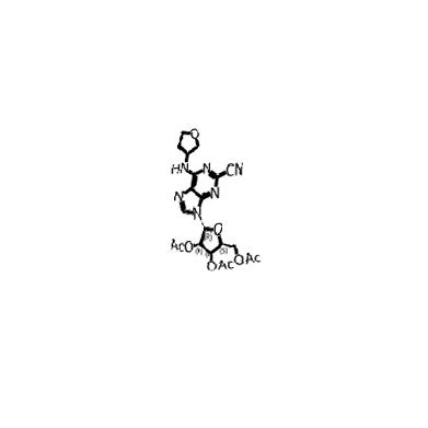 CC(=O)OC[C@@H]1O[C@@H](n2cnc3c(NC4CCOC4)nc(C#N)nc32)[C@H](OC(C)=O)[C@@H]1OC(C)=O